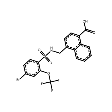 O=C(O)c1ccc(CNS(=O)(=O)c2ccc(Br)cc2OC(F)(F)F)c2ccccc12